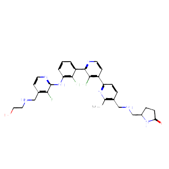 COc1nc(-c2ccnc(-c3cccc(Nc4nccc(CNCCO)c4F)c3Cl)c2Cl)ccc1CNCC1CCC(=O)N1